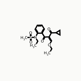 CCO/C=C(\C(=O)c1ccccc1N(CC)S(C)(=O)=O)C(=O)C1CC1